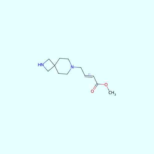 COC(=O)/C=C/CN1CCC2(CC1)CNC2